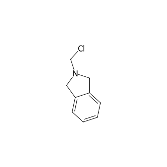 ClCN1Cc2ccccc2C1